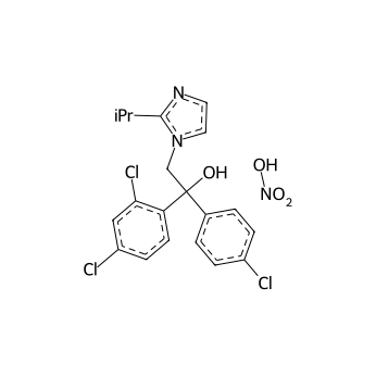 CC(C)c1nccn1CC(O)(c1ccc(Cl)cc1)c1ccc(Cl)cc1Cl.O=[N+]([O-])O